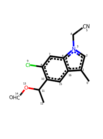 Cc1cn(CC#N)c2cc(Cl)c(C(C)OC=O)cc12